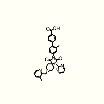 Cc1cc(N2C(=O)N(c3ncccn3)C3(CCN(Cc4ncccc4C)CC3)C2=O)ccc1-c1ccc(C(=O)O)cc1